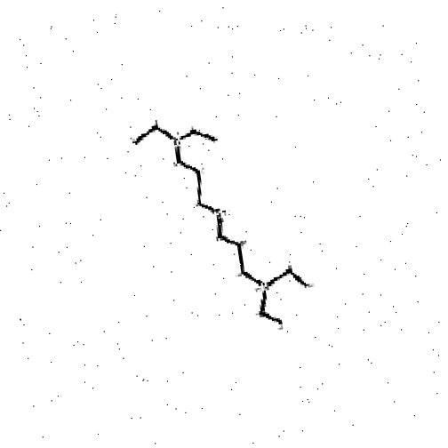 CCN(CC)CC[CH2][Sn][CH2]CCN(CC)CC